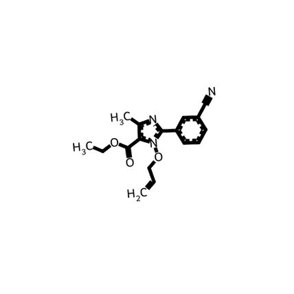 C=CCOn1c(-c2cccc(C#N)c2)nc(C)c1C(=O)OCC